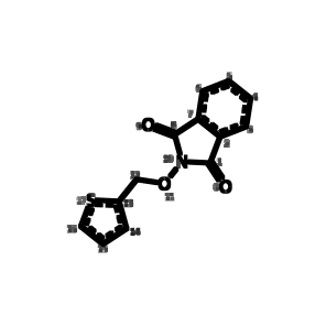 O=C1c2ccccc2C(=O)N1OCc1cccs1